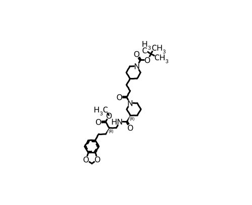 COC(=O)[C@H](CCc1ccc2c(c1)OCO2)CNC(=O)[C@@H]1CCCN(C(=O)CCC2CCN(C(=O)OC(C)(C)C)CC2)C1